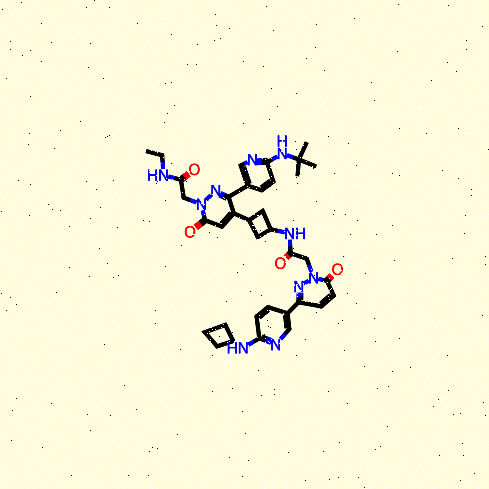 CCNC(=O)Cn1nc(-c2ccc(NC(C)(C)C)nc2)c(C2CC(NC(=O)Cn3nc(-c4ccc(NC5CCC5)nc4)ccc3=O)C2)cc1=O